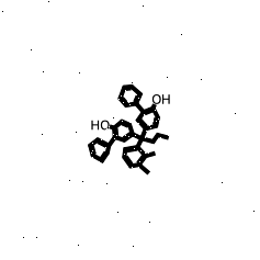 CCCC(c1ccc(O)c(-c2ccccc2)c1)(c1ccc(O)c(-c2ccccc2)c1)c1cccc(C)c1C